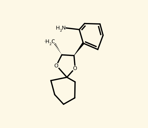 [CH2][C@H]1OC2(CCCCC2)O[C@@H]1c1ccccc1N